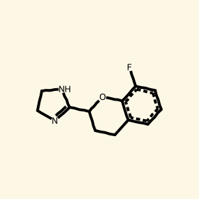 Fc1cccc2c1OC(C1=NCCN1)CC2